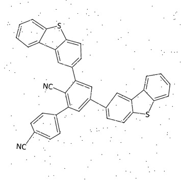 N#Cc1ccc(-c2cc(-c3ccc4sc5ccccc5c4c3)cc(-c3ccc4sc5ccccc5c4c3)c2C#N)cc1